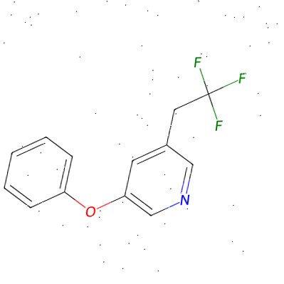 FC(F)(F)Cc1cncc(Oc2ccccc2)c1